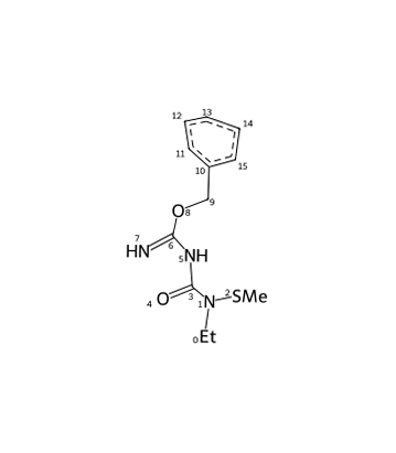 CCN(SC)C(=O)NC(=N)OCc1ccccc1